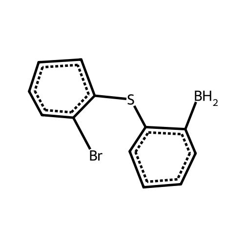 Bc1ccccc1Sc1ccccc1Br